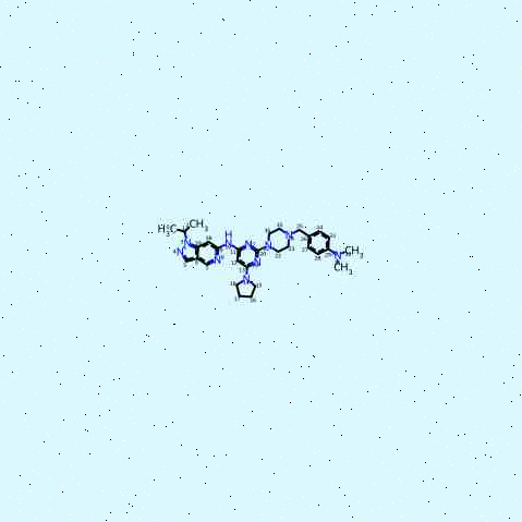 CC(C)n1ncc2cnc(Nc3cc(N4CCCC4)nc(N4CCN(Cc5ccc(N(C)C)cc5)CC4)n3)cc21